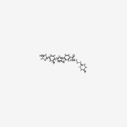 O=C(NCCCN1CCC(F)CC1)c1ccc2c(c1)sc1nc(-c3ccc([C@H]4CCNC4)cc3F)cn12